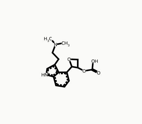 CN(C)CCc1c[nH]c2cccc(C3OCC3OC(=O)O)c12